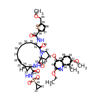 CCOc1cc(O[C@@H]2C[C@H]3C(=O)N[C@]4(C(=O)NS(=O)(=O)C5CC5)C[C@H]4C=CCCCCC[C@H](NC(=O)c4ccc(COC)s4)C(=O)N3C2)c2ccc(OC)c(C)c2n1